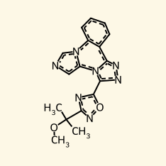 COC(C)(C)c1noc(-c2nnc3c4ccccc4n4cncc4n23)n1